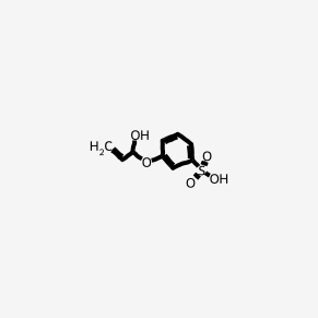 C=CC(O)Oc1cccc(S(=O)(=O)O)c1